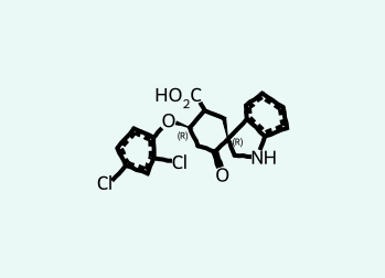 O=C(O)C1C[C@@]2(CNc3ccccc32)C(=O)C[C@H]1Oc1ccc(Cl)cc1Cl